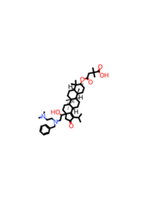 CC(C)C1=C2[C@H]3CC[C@@H]4[C@@]5(C)CC[C@H](OC(=O)CC(C)(C)C(=O)O)C(C)(C)[C@@H]5CC[C@@]4(C)[C@]3(C)CCC2(C(O)CN(CCN(C)C)Cc2ccccc2)CC1=O